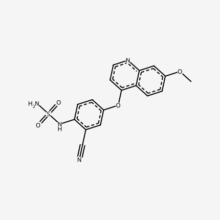 COc1ccc2c(Oc3ccc(NS(N)(=O)=O)c(C#N)c3)ccnc2c1